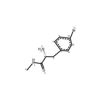 CNC(=O)[C@H](N)Cc1ccc(Br)cc1